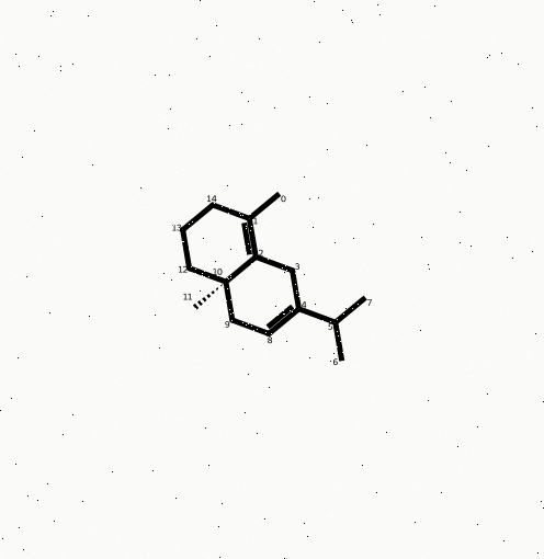 CC1=C2CC(C(C)C)=CC[C@@]2(C)CCC1